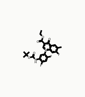 CCOC(=O)c1cn(-c2cc(NC(=O)OC(C)(C)C)c(F)cc2F)c2cc(F)c(C)cc2c1=O